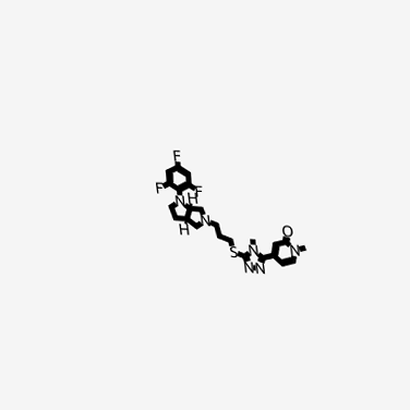 Cn1c(SCCCN2C[C@@H]3CCN(c4c(F)cc(F)cc4F)[C@@H]3C2)nnc1-c1ccn(C)c(=O)c1